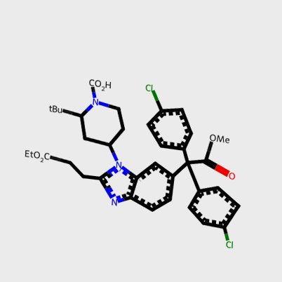 CCOC(=O)CCc1nc2ccc(C(C(=O)OC)(c3ccc(Cl)cc3)c3ccc(Cl)cc3)cc2n1C1CCN(C(=O)O)C(C(C)(C)C)C1